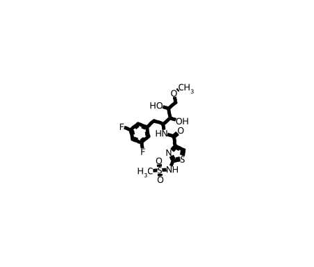 COCC(O)C(O)C(Cc1cc(F)cc(F)c1)NC(=O)c1csc(NS(C)(=O)=O)n1